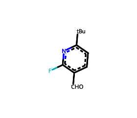 CC(C)(C)c1ccc(C=O)c(F)n1